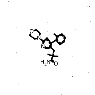 Cc1ccccc1-c1cc(N2CCOCC2)ncc1CC(C)(C)C(N)=O